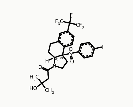 CC(C)(O)CC(=O)N1CC[C@@]2(S(=O)(=O)c3ccc(I)cc3)c3ccc(C(F)(C(F)(F)F)C(F)(F)F)cc3CC[C@@H]12